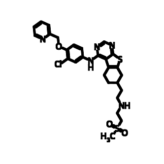 CS(=O)(=O)CCNCCC1CCc2c(sc3ncnc(Nc4ccc(OCc5ccccn5)c(Cl)c4)c23)C1